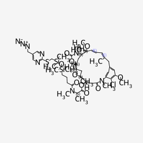 COc1cc2cc(c1Cl)N(C)C(=O)C[C@H](OC(=O)[C@H](C)N(C)C(=O)CCC[Si](C)(C)O[Si](C)(C)CSc1ncc(CN=[N+]=[N-])cn1)[C@@]1(C)CC(C)(O1)[C@@H]1C[C@@](O)(NC(=O)O1)[C@H](OC)/C=C/C=C(\C)C2